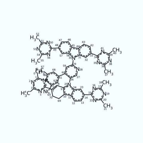 Cc1nc(C)nc(C2=Cc3c(c4ccc(-c5nc(C)nc(C)n5)cc4n3-c3cnc(-n4c5cc(-c6nc(C)nc(C)n6)ccc5c5ccc(-c6nc(C)nc(C)n6)cc54)cc3-c3cc(C#N)cc(C(F)(F)F)c3)CC2)n1